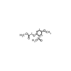 COC(=O)COc1ccc(OC)cc1C(C)=O